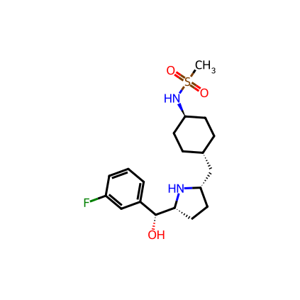 CS(=O)(=O)N[C@H]1CC[C@H](C[C@@H]2CC[C@H]([C@H](O)c3cccc(F)c3)N2)CC1